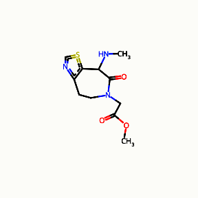 CNC1C(=O)N(CC(=O)OC)CCc2ncsc21